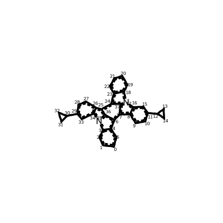 c1ccc2c(c1)c1c3c4ccc(C5CC5)cc4n4c5ccccc5c(c5c6ccc(C7CC7)cc6n2c15)c34